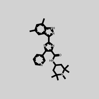 Cc1cc(C)c2[nH]nc(-c3nc(C(=O)NC4CC(C)(C)N(C)C(C)(C)C4)c(-c4cccnc4)s3)c2c1